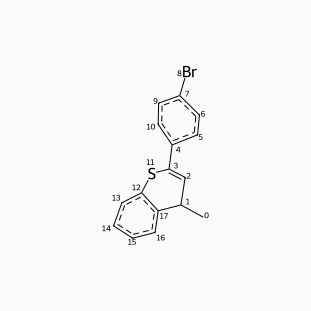 CC1C=C(c2ccc(Br)cc2)Sc2ccccc21